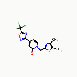 Cc1nc(Cn2ccc(-c3noc(C(F)(F)F)n3)cc2=O)oc1C